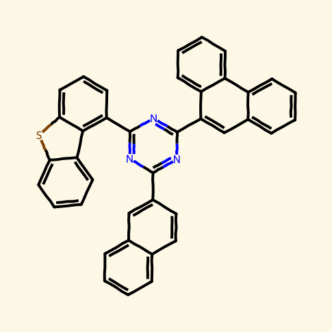 c1ccc2cc(-c3nc(-c4cc5ccccc5c5ccccc45)nc(-c4cccc5sc6ccccc6c45)n3)ccc2c1